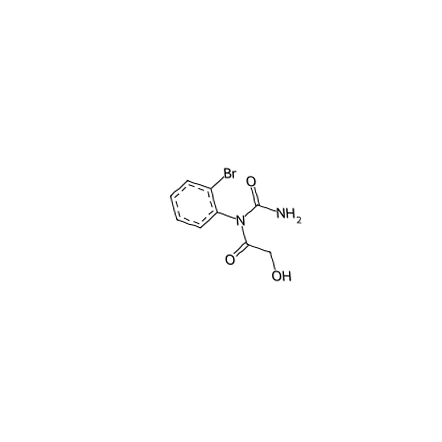 NC(=O)N(C(=O)CO)c1ccccc1Br